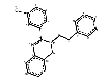 Cc1cccc(C2=Nc3ccccc3CN2CCc2ccccc2)c1